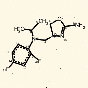 CC(C)N(C[C@H]1COC(N)=N1)c1ccc(F)cc1F